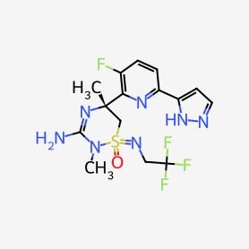 CN1C(N)=N[C@](C)(c2nc(-c3ccn[nH]3)ccc2F)CS1(=O)=NCC(F)(F)F